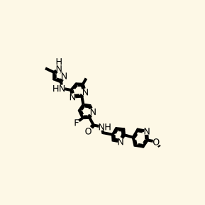 COc1ccc(-c2ccc(CNC(=O)c3ncc(-c4nc(C)cc(Nc5cc(C)[nH]n5)n4)cc3F)cn2)cn1